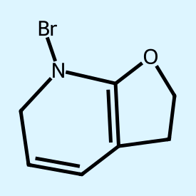 BrN1CC=CC2=C1OCC2